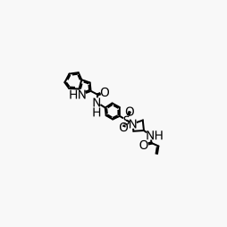 C=CC(=O)NC1CN(S(=O)(=O)c2ccc(NC(=O)c3cc4ccccc4[nH]3)cc2)C1